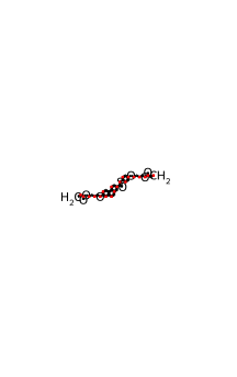 C=CC(=O)OCCCCOc1ccc(SC(=O)c2ccc3c(ccc4cc(OCCCCOC(=O)C=C)ccc43)c2)cc1